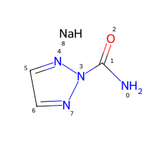 NC(=O)n1nccn1.[NaH]